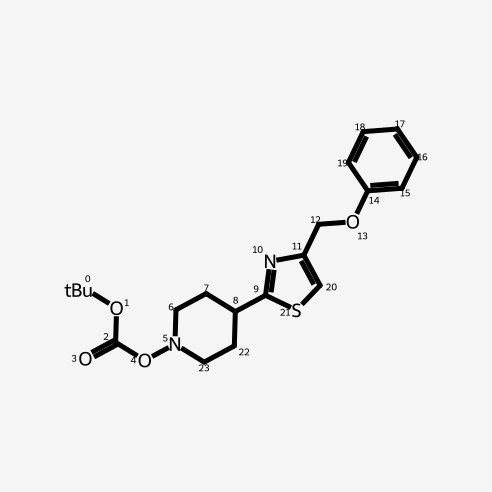 CC(C)(C)OC(=O)ON1CCC(c2nc(COc3ccccc3)cs2)CC1